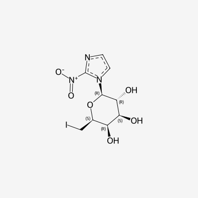 O=[N+]([O-])c1nccn1[C@@H]1O[C@H](CI)[C@H](O)[C@H](O)[C@H]1O